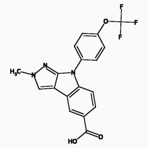 Cn1cc2c3cc(C(=O)O)ccc3n(-c3ccc(OC(F)(F)F)cc3)c2n1